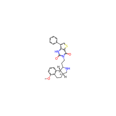 COc1cccc2c1CC[C@H]1CNC(CCn3c(=O)[nH]c4c(-c5ccccc5)csc4c3=O)[C@@H]21